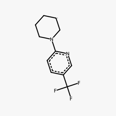 FC(F)(F)c1ccc(N2C[CH]CCC2)nc1